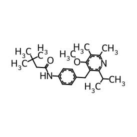 COc1c(C)c(C)nc(C(C)C)c1Cc1ccc(NC(=O)CC(C)(C)C)cc1